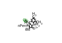 CCCCCC1=C(C(C)CC)[C]([Ti+3])=C([SiH2]c2c(C)cc(C)cc2C)C1.[Cl-].[Cl-].[Cl-]